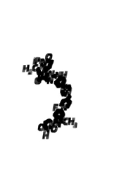 C=CCn1c(=O)c2cnc(Nc3ccc(N4CCN(CC5CCN(c6cc7c(cc6F)c(N6CCC(=O)NC6=O)nn7C)CC5)CC4)cc3)nc2n1-c1ccc(=O)n(C(C)C)n1